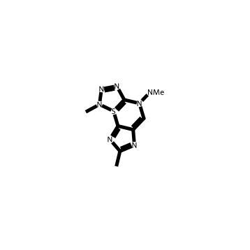 CNN1C=C2N=C(C)N=C2S2=C1N=NN2C